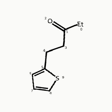 CCC(=O)CCc1cccs1